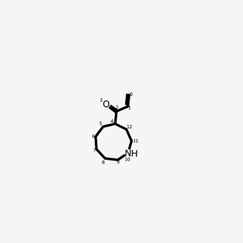 C=CC(=O)C1CCCCCNCC1